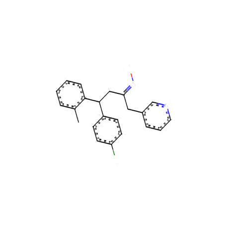 Cc1ccccc1C(C/C(Cc1cccnc1)=N\O)c1ccc(Br)cc1